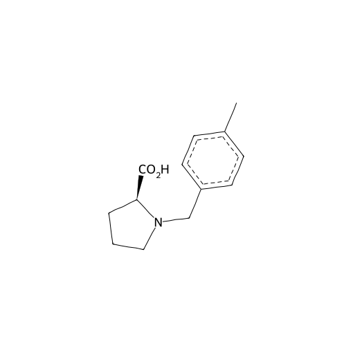 Cc1ccc(CN2CCC[C@H]2C(=O)O)cc1